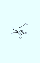 C=C.CCOC(C)OCC.N#CC1C(O)CSC1CCCCCCCO